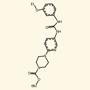 CCOc1cccc(NC(=O)Nc2ccc(N3CCN(C(=O)OC(C)(C)C)CC3)nc2)c1